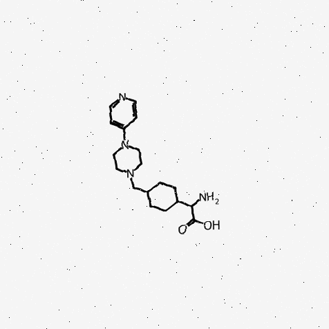 NC(C(=O)O)C1CCC(CN2CCN(c3ccncc3)CC2)CC1